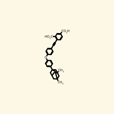 CC12CC3CC(C)(C1)CC(c1ccc(Oc4ccc(C#Cc5ccc(C(=O)O)cc5C(=O)O)cc4)cc1)(C3)C2